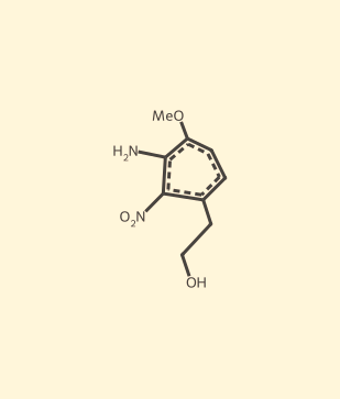 COc1ccc(CCO)c([N+](=O)[O-])c1N